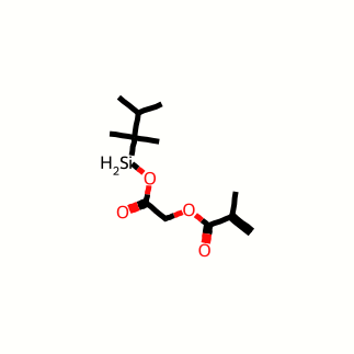 C=C(C)C(=O)OCC(=O)O[SiH2]C(C)(C)C(C)C